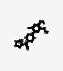 Cc1cc(N)c(OC(C)C)cc1C1CCN(C(=O)[C@@H]2CCCN2)CC1